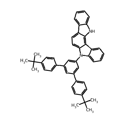 CC(C)(C)c1ccc(-c2cc(-c3ccc(C(C)(C)C)cc3)cc(-n3c4ccccc4c4c5[nH]c6ccccc6c5ccc43)c2)cc1